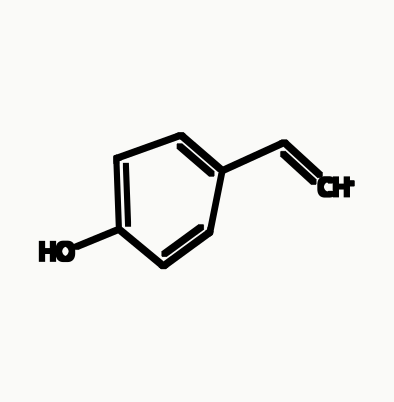 [CH]=Cc1ccc(O)cc1